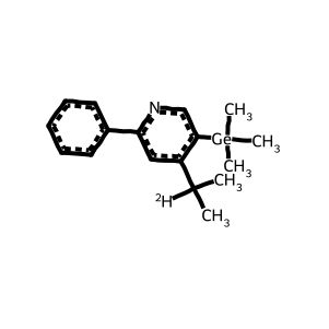 [2H]C(C)(C)c1cc(-c2ccccc2)nc[c]1[Ge]([CH3])([CH3])[CH3]